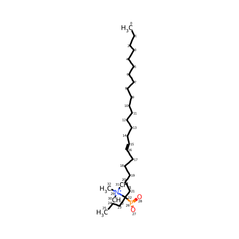 CCCCCCCCCCCCCCCC=CCCCCCC(CCC)(P(=O)=O)[N+](C)(C)C